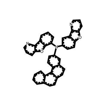 c1ccc2c(c1)ccc1ccc3cc(N(c4ccc5oc6cccnc6c5c4)c4cccc5c4oc4cccnc45)ccc3c12